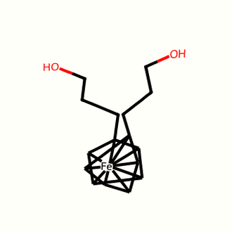 OCCC[C]12[CH]3[CH]4[CH]5[CH]1[Fe]45321678[CH]2[CH]1[CH]6[C]7(CCCO)[CH]28